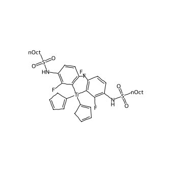 CCCCCCCCS(=O)(=O)Nc1ccc(F)[c]([Ti]([C]2=CC=CC2)([C]2=CC=CC2)[c]2c(F)ccc(NS(=O)(=O)CCCCCCCC)c2F)c1F